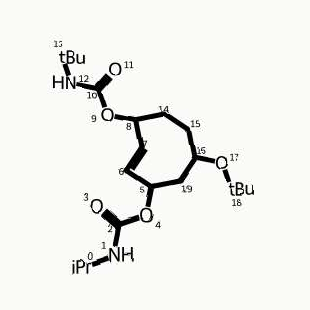 CC(C)NC(=O)OC1/C=C/C(OC(=O)NC(C)(C)C)CCC(OC(C)(C)C)C1